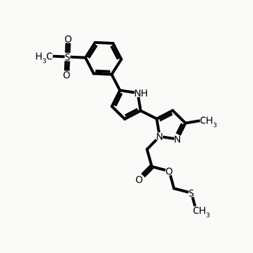 CSCOC(=O)Cn1nc(C)cc1-c1ccc(-c2cccc(S(C)(=O)=O)c2)[nH]1